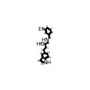 CCc1cccc(CNCC(O)[CH]Cc2ccc3[nH]ccc3c2)c1